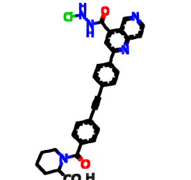 O=C(NNCl)c1cc(-c2ccc(C#Cc3ccc(C(=O)N4CCCCC4C(=O)O)cc3)cc2)nc2ccncc12